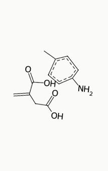 C=C(CC(=O)O)C(=O)O.Cc1ccc(N)cc1